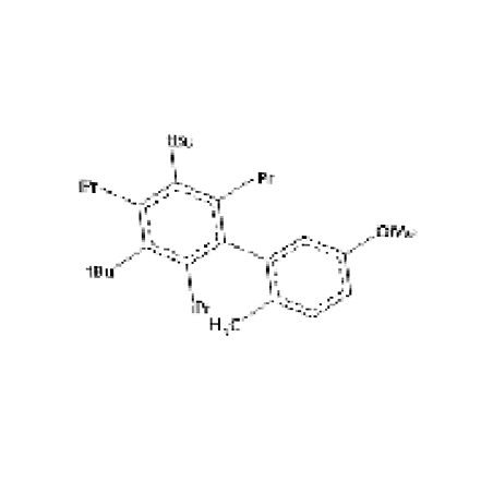 COc1ccc(C)c(-c2c(C(C)C)c(C(C)(C)C)c(C(C)C)c(C(C)(C)C)c2C(C)C)c1